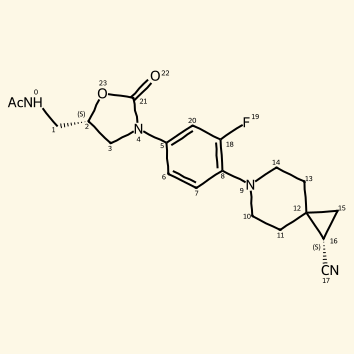 CC(=O)NC[C@H]1CN(c2ccc(N3CCC4(CC3)C[C@@H]4C#N)c(F)c2)C(=O)O1